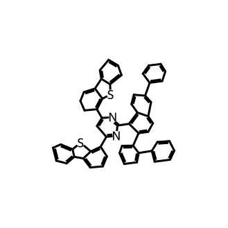 C1=c2c(sc3ccccc23)=C(c2cc(-c3cccc4c3sc3ccccc34)nc(-c3c(-c4ccccc4-c4ccccc4)ccc4cc(-c5ccccc5)ccc34)n2)CC1